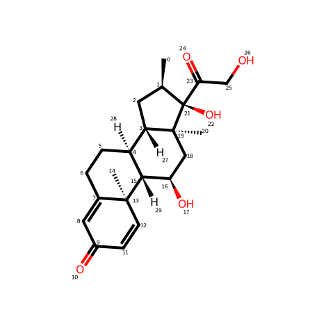 C[C@@H]1C[C@H]2[C@@H]3CCC4=CC(=O)C=C[C@]4(C)[C@H]3[C@H](O)C[C@]2(C)[C@@]1(O)C(=O)CO